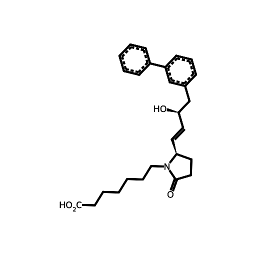 O=C(O)CCCCCCN1C(=O)CC[C@@H]1/C=C/[C@@H](O)Cc1cccc(-c2ccccc2)c1